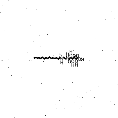 CCCCCCCCCCCCCCCC(=O)NCCNC(=O)C(O)C(O)C(O)C(O)C(=O)O